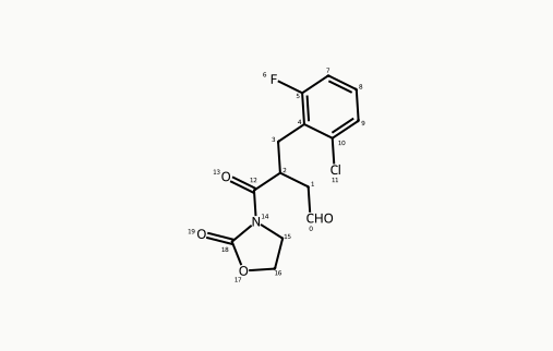 O=CCC(Cc1c(F)cccc1Cl)C(=O)N1CCOC1=O